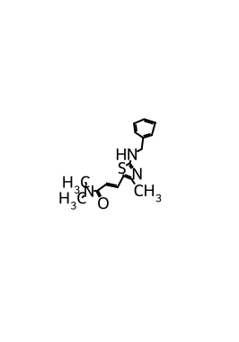 Cc1nc(NCc2ccccc2)sc1C=CC(=O)N(C)C